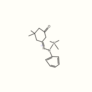 CC1(C)CC(=O)C/C(=N\N(c2ccccc2)[Si](C)(C)C)C1